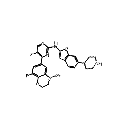 CC(C)N1CCOc2c(F)cc(-c3nc(Nc4cc5ccc(C6CCNCC6)cc5o4)ncc3F)cc21